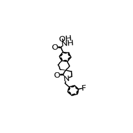 O=C(NO)c1ccc2c(c1)CC[C@]1(CCN(Cc3cccc(F)c3)C1=O)C2